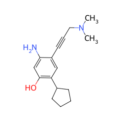 CN(C)CC#Cc1cc(C2CCCC2)c(O)cc1N